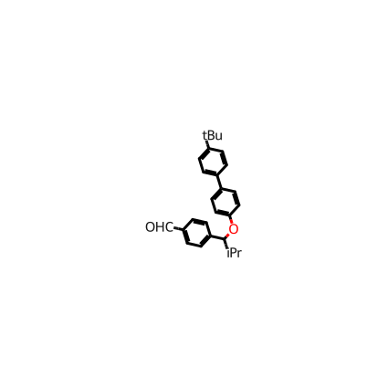 CC(C)C(Oc1ccc(-c2ccc(C(C)(C)C)cc2)cc1)c1ccc(C=O)cc1